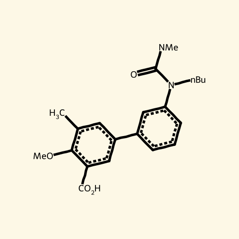 CCCCN(C(=O)NC)c1cccc(-c2cc(C)c(OC)c(C(=O)O)c2)c1